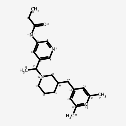 CCC(=O)Nc1cncc(C(C)N2CCCC(Cc3cc(C)nc(C)c3)C2)c1